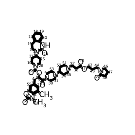 Cc1cc(C[C@@H](OC(=O)N2CCC(N3CCc4ccccc4NC3=O)CC2)C(=O)N2CCN(C3CCN(CCC(=O)OCCCN4CCCC4=O)CC3)CC2)cc2oc(=O)n(C)c12